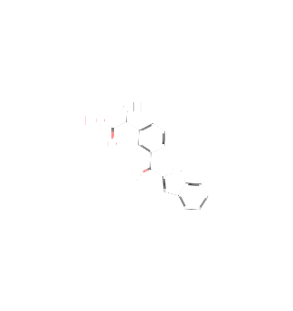 CC(C(=O)O)c1cccc(C(=O)c2cc3ccccc3o2)c1